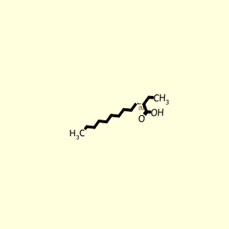 CCCCCCCCCC[C@H](CC)C(=O)O